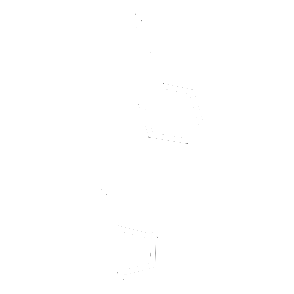 N#Cc1cccc(S(=O)(=O)Nc2ncns2)c1